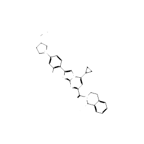 C[C@@H]1c2ccccc2CCN1C(=O)c1cc(C2CC2)n2cc(-c3ccc(N4CC[C@H](CO)C4)cc3F)nc2n1